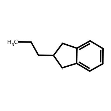 CCCC1[CH]c2ccccc2C1